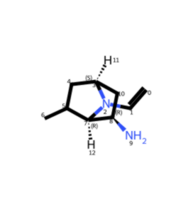 C=CN1[C@H]2CC(C)[C@@H]1[C@H](N)C2